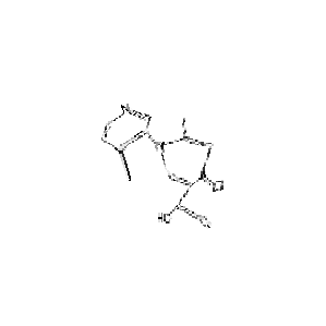 Cc1ccncc1-n1cc(C(=O)O)c(=O)cc1C